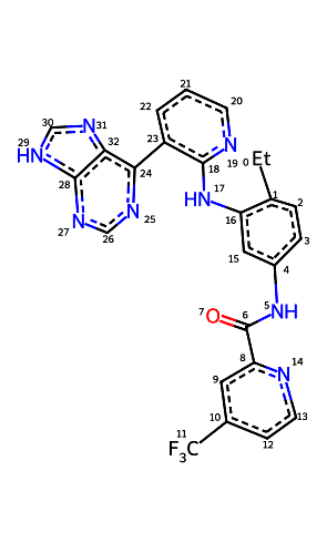 CCc1ccc(NC(=O)c2cc(C(F)(F)F)ccn2)cc1Nc1ncccc1-c1ncnc2[nH]cnc12